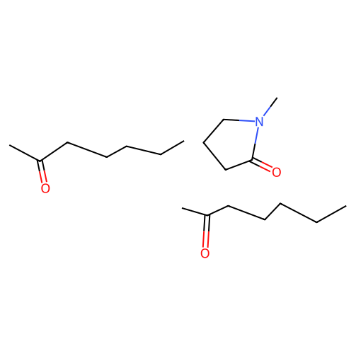 CCCCCC(C)=O.CCCCCC(C)=O.CN1CCCC1=O